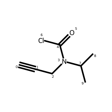 C#CCN(C(=O)Cl)C(C)C